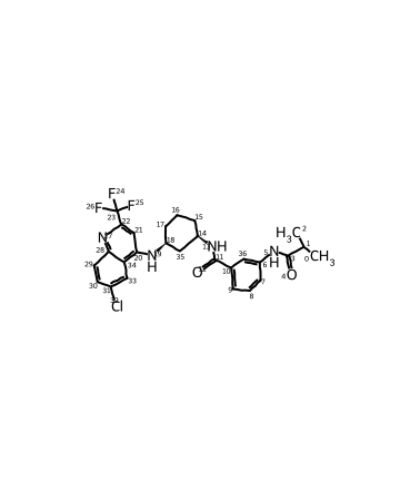 CC(C)C(=O)Nc1cccc(C(=O)N[C@@H]2CCC[C@H](Nc3cc(C(F)(F)F)nc4ccc(Cl)cc34)C2)c1